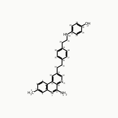 Cc1ccc2c(c1)nc(N)c1ncc(CCc3ccc(CCNc4ccc(O)cc4)cc3)cc12